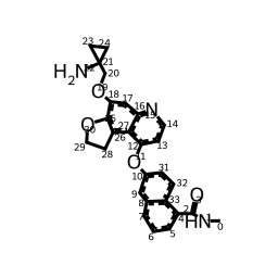 CNC(=O)c1cccc2cc(Oc3ccnc4cc(OCC5(N)CC5)c5c(c34)CCO5)ccc12